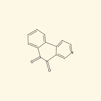 O=C1C(=O)c2cnccc2-c2ccccc21